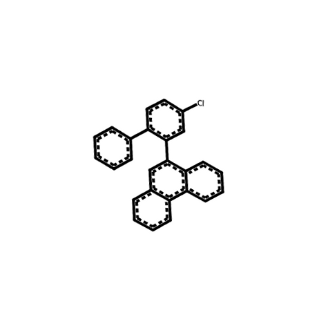 Clc1ccc(-c2ccccc2)c(-c2cc3ccccc3c3ccccc23)c1